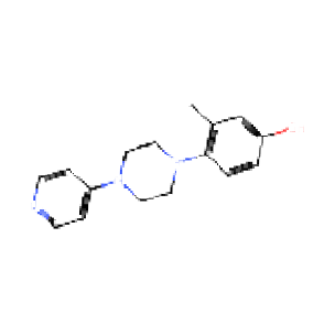 Cc1cc(O)ccc1N1CCN(c2ccncc2)CC1